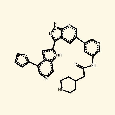 O=C(CC1CCNCC1)Nc1cncc(-c2cnc3[nH]nc(-c4cc5c(-c6cccs6)cncc5[nH]4)c3c2)c1